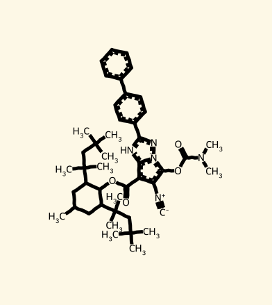 [C-]#[N+]c1c(C(=O)OC2C(C(C)(C)CC(C)(C)C)CC(C)CC2C(C)(C)CC(C)(C)C)c2[nH]c(-c3ccc(-c4ccccc4)cc3)nn2c1OC(=O)N(C)C